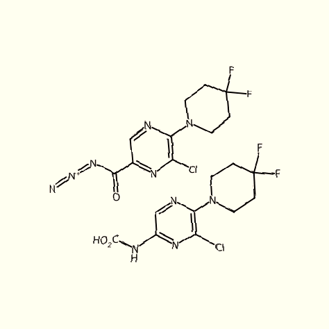 O=C(O)Nc1cnc(N2CCC(F)(F)CC2)c(Cl)n1.[N-]=[N+]=NC(=O)c1cnc(N2CCC(F)(F)CC2)c(Cl)n1